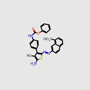 N#Cc1c(N)sc(N=Nc2ccc3cccc(S(=O)(=O)O)c3c2)c1-c1ccc(NC(=O)Oc2ccccc2)cc1